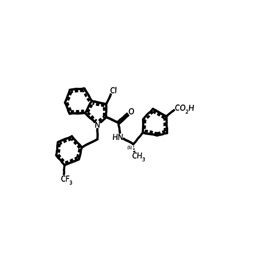 C[C@H](NC(=O)c1c(Cl)c2ccccc2n1Cc1cccc(C(F)(F)F)c1)c1ccc(C(=O)O)cc1